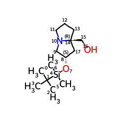 CC(C)(C)[Si](C)(C)O[C@@H]1CN2CCC[C@]2(CO)C1